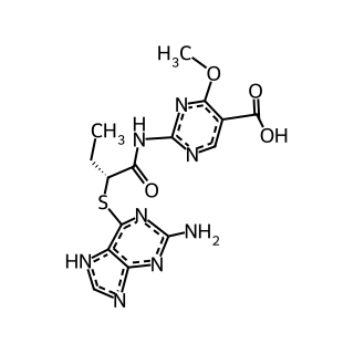 CC[C@@H](Sc1nc(N)nc2nc[nH]c12)C(=O)Nc1ncc(C(=O)O)c(OC)n1